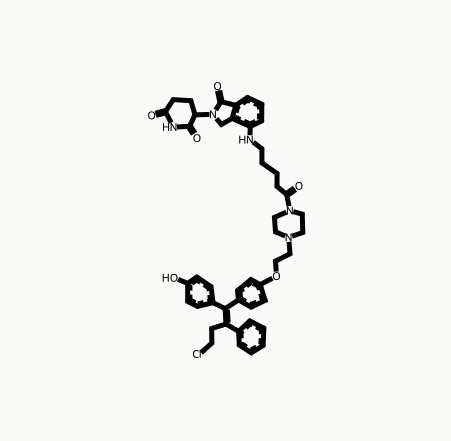 O=C1CCC(N2Cc3c(NCCCCC(=O)N4CCN(CCOc5ccc(C(=C(CCCl)c6ccccc6)c6ccc(O)cc6)cc5)CC4)cccc3C2=O)C(=O)N1